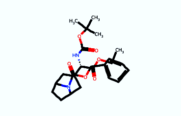 CCOC(=O)[C@@H](NC(=O)OC(C)(C)C)C1CC2CCC(C1)N2C(=O)OCc1ccccc1